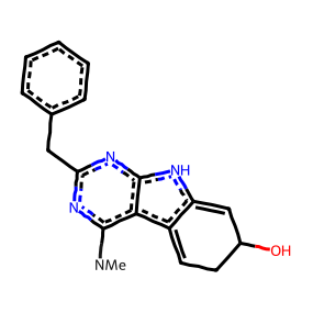 CNc1nc(Cc2ccccc2)nc2[nH]c3c(c12)=CCC(O)C=3